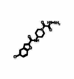 NNC(=O)C(=O)N1CCC(NC(=O)c2cc3cc(Cl)ccc3o2)CC1